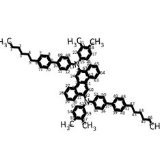 CCCCCCc1ccc(-c2ccc(N(c3ccc(C)c(C)c3)c3cc4c5ccccc5c(N(c5ccc(-c6ccc(CCCCCC)cc6)cc5)c5ccc(C)c(C)c5)cc4c4ccccc34)cc2)cc1